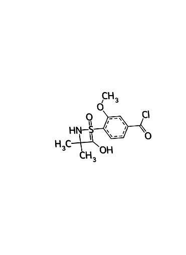 COc1cc(C(=O)Cl)ccc1S1(=O)=C(O)C(C)(C)N1